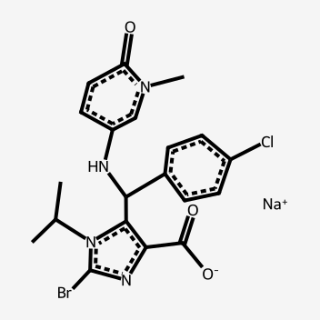 CC(C)n1c(Br)nc(C(=O)[O-])c1C(Nc1ccc(=O)n(C)c1)c1ccc(Cl)cc1.[Na+]